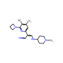 CN1CCC(N/C=C(\C=N)c2cc(C(F)(F)F)c(C#N)c(N3CCC3)n2)CC1